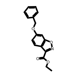 CCOC(=O)c1noc2cc(OCc3ccccc3)ccc12